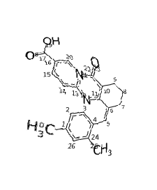 Cc1ccc(/C=C2/CCCc3c2nc2ccc(C(=O)O)cn2c3=O)c(C)c1